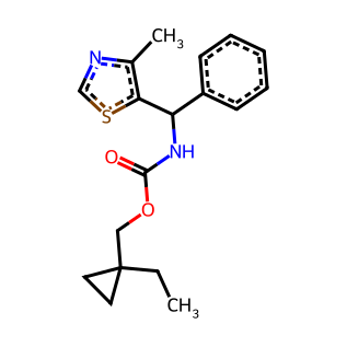 CCC1(COC(=O)NC(c2ccccc2)c2scnc2C)CC1